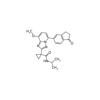 COc1ccc(-c2ccc3c(c2)CCC3=O)n2nc(C3(C(=O)NC(C)C)CC3)nc12